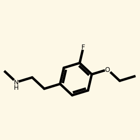 CCOc1ccc(CCNC)cc1F